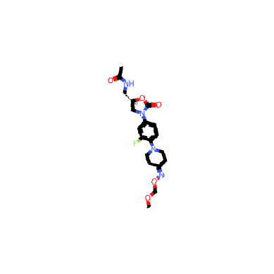 COCON=C1CCN(c2ccc(N3C[C@H](CNC(C)=O)OC3=O)cc2F)CC1